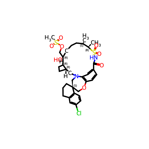 C[C@@H]1[C@@H](C)CCC[C@](O)(COS(C)(=O)=O)[C@@H]2CC[C@H]2CN2C[C@@]3(CCCc4cc(Cl)ccc43)COc3ccc(cc32)C(=O)NS1(=O)=O